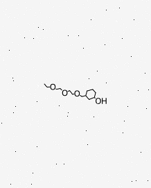 CCOCCOCCOCC1CCCC(O)C1